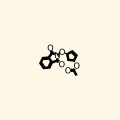 CC(=O)O[C@H]1C=C[C@H](ON2C(=O)c3ccccc3C2=O)C1